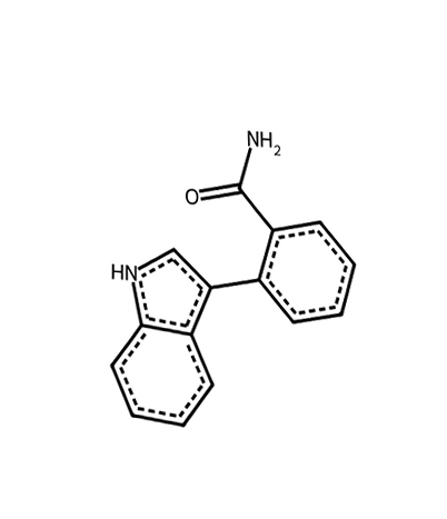 NC(=O)c1ccccc1-c1c[nH]c2ccccc12